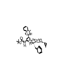 C[C@@H](NC(=O)c1cc(NC(=O)OC(C)(C)C)cc(C(=O)N[C@@H](Cc2ccccc2)[C@H](O)CNC2CC2)c1)c1ccccc1